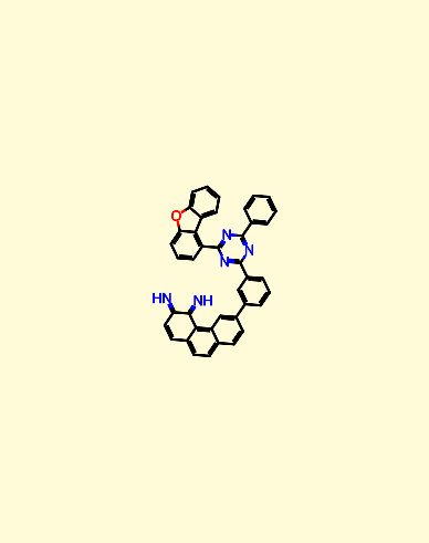 N=C1C=Cc2ccc3ccc(-c4cccc(-c5nc(-c6ccccc6)nc(-c6cccc7oc8ccccc8c67)n5)c4)cc3c2C1=N